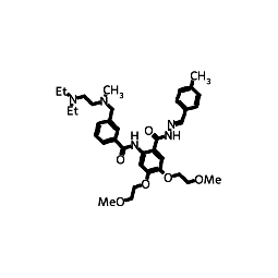 CCN(CC)CCN(C)Cc1cccc(C(=O)Nc2cc(OCCOC)c(OCCOC)cc2C(=O)NN=Cc2ccc(C)cc2)c1